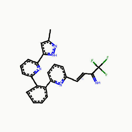 Cc1cc(-c2cccc(-c3ccccc3-c3cccc(/C=C/C(=N)C(F)(F)F)n3)n2)[nH]n1